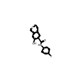 O=C(Nc1ccc(F)cc1)c1cc2ccccc2cc1O